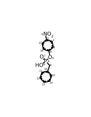 O=[N+]([O-])c1ccc(OP(=O)(O)Cc2ccccc2)cc1